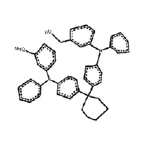 COc1cccc(N(c2ccccc2)c2ccc(C3(c4ccc(N(c5ccccc5)c5cccc(CO)c5)cc4)CCCCC3)cc2)c1